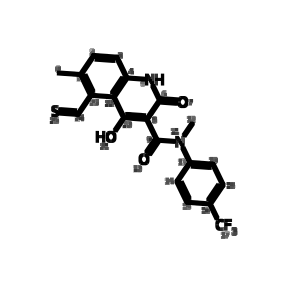 Cc1ccc2[nH]c(=O)c(C(=O)N(C)c3ccc(C(F)(F)F)cc3)c(O)c2c1C=S